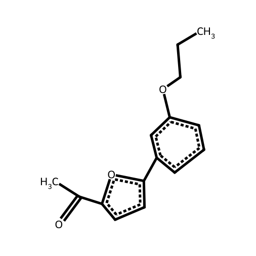 CCCOc1cccc(-c2ccc(C(C)=O)o2)c1